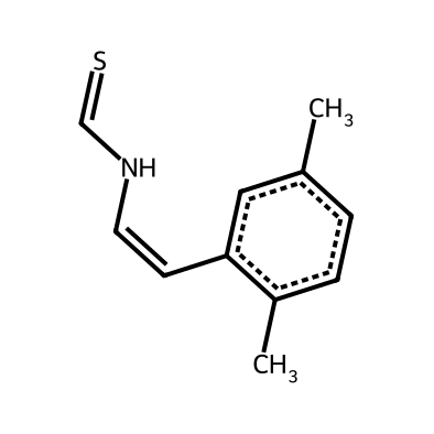 Cc1ccc(C)c(/C=C\NC=S)c1